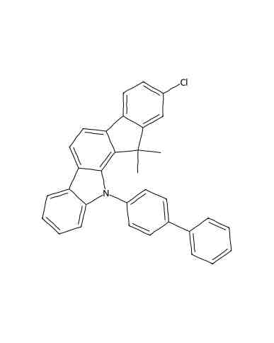 CC1(C)c2cc(Cl)ccc2-c2ccc3c4ccccc4n(-c4ccc(-c5ccccc5)cc4)c3c21